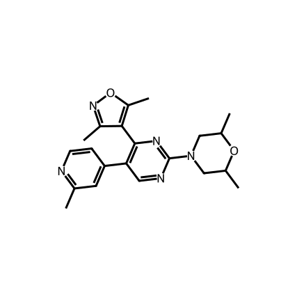 Cc1cc(-c2cnc(N3CC(C)OC(C)C3)nc2-c2c(C)noc2C)ccn1